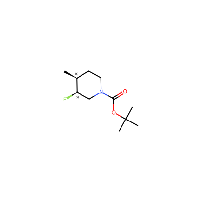 C[C@H]1CCN(C(=O)OC(C)(C)C)C[C@H]1F